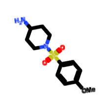 COc1ccc(S(=O)(=O)N2CCC(N)CC2)cc1